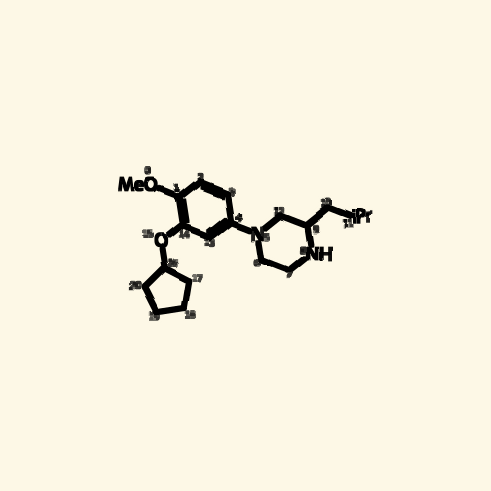 COc1ccc(N2CCNC(CC(C)C)C2)cc1OC1CCCC1